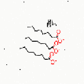 CCCCCCCC(=O)[O-].CCCCCCCC(=O)[O-].CCCCCCCC(=O)[O-].[Bi+3].[Bi]